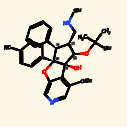 COc1cncc2c1[C@]1(O)[C@H](O[Si](C)(C)C(C)(C)C)[C@H](CNC(C)(C)C)[C@@H](c3ccccc3)[C@]1(c1ccc(C#N)cc1)O2